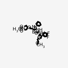 COCCN1C[C@@H](NC(=O)Nc2c(Br)c(COC3CCN(S(C)(=O)=O)CC3)nn2C2=CCCC=C2)[C@H](c2ccc(F)c(F)c2)C1